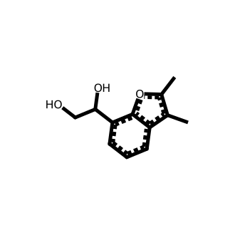 Cc1oc2c(C(O)CO)cccc2c1C